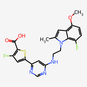 COc1ccc(F)c2c1cc(C)n2CCNc1cc(-c2cc(F)c(C(=O)O)s2)ncn1